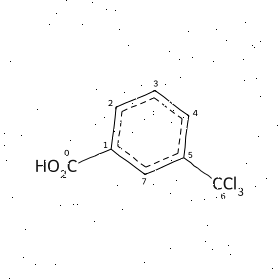 O=C(O)c1cccc(C(Cl)(Cl)Cl)c1